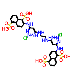 O=S(=O)(O)c1cccc2c(S(=O)(=O)O)c(NC3=NN(Cl)NC(NCCNC4=CC(Nc5ccc6c(S(=O)(=O)O)cccc6c5S(=O)(=O)O)=NN(Cl)N4)=C3)ccc12